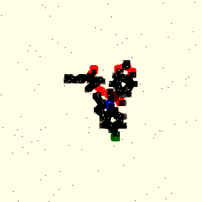 COC(=O)C(C)(C)OCc1cc2cc(Cl)ccc2n1S(=O)(=O)c1ccc2c(c1)OCO2